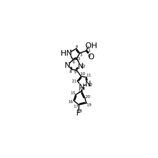 O=C(O)c1c[nH]c2ncc(-c3cnn(-c4ccc(F)cc4)c3)nc12